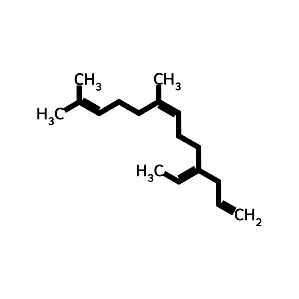 C=CCC(=CC)CCC=C(C)CCC=C(C)C